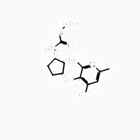 Cc1cc(Cl)c(O[C@@H]2CC[C@H](NC(=O)OC(C)(C)C)C2)c(Br)n1